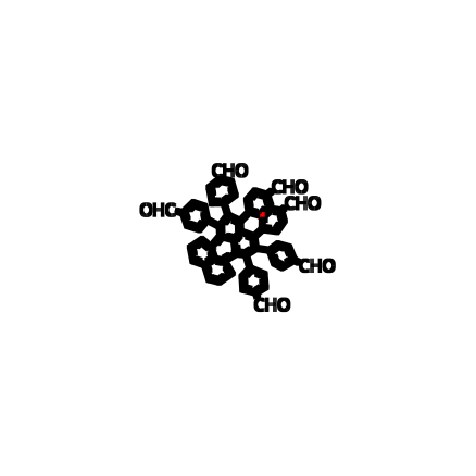 O=Cc1ccc(-c2c(-c3ccc(C=O)cc3)c3c(-c4ccc(C=O)cc4)c(-c4ccc(C=O)cc4)c(-c4ccc(C=O)cc4)c4c5cccc6cccc(c(c2-c2ccc(C=O)cc2)c34)c65)cc1